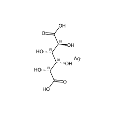 O=C(O)[C@@H](O)[C@@H](O)[C@H](O)[C@@H](O)C(=O)O.[Ag]